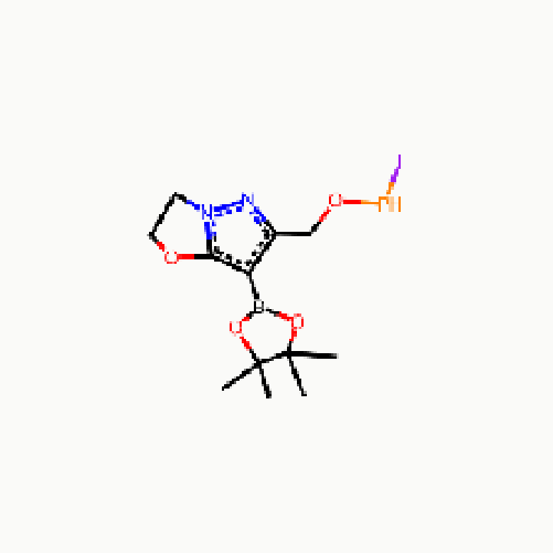 CC1(C)OB(c2c(COPI)nn3c2OCC3)OC1(C)C